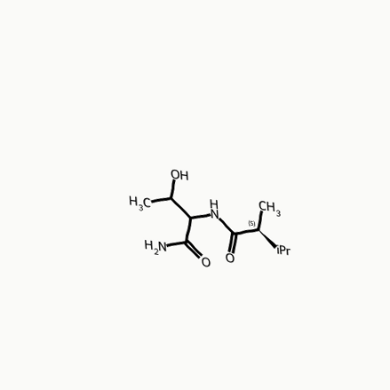 CC(O)C(NC(=O)[C@@H](C)C(C)C)C(N)=O